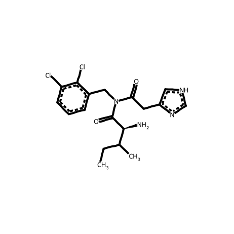 CCC(C)[C@H](N)C(=O)N(Cc1cccc(Cl)c1Cl)C(=O)Cc1c[nH]cn1